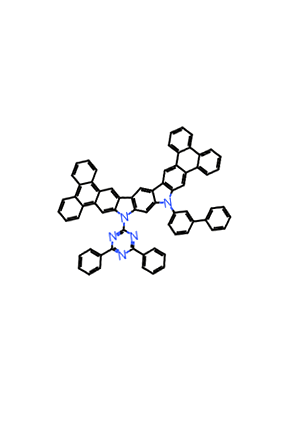 c1ccc(-c2cccc(-n3c4cc5c6ccccc6c6ccccc6c5cc4c4cc5c6cc7c8ccccc8c8ccccc8c7cc6n(-c6nc(-c7ccccc7)nc(-c7ccccc7)n6)c5cc43)c2)cc1